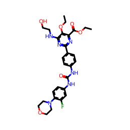 CCOC(=O)c1nc(-c2ccc(NC(=O)Nc3ccc(N4CCOCC4)c(F)c3)cc2)nc(NCCO)c1OCC